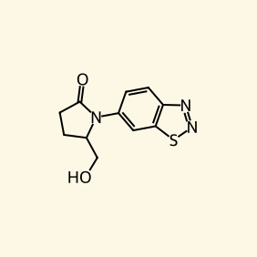 O=C1CCC(CO)N1c1ccc2nnsc2c1